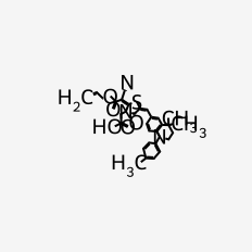 C=CCOC(=O)/C(C#N)=c1/s/c(=C/c2ccc3c(c2)C(C)(C)CCN3c2ccc(C)cc2)c(=O)n1CC(=O)O